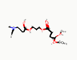 CCCCCCCCOC(CCC(=O)OCCCOC(=O)CCN(C)C)OCCCCCCCC